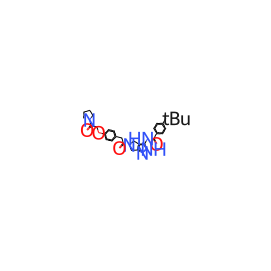 CC(C)(C)c1ccc(C(=O)Nc2[nH]nc3c2CN(C(=O)Cc2ccc(OCC(=O)N4CCCC4)cc2)C3)cc1